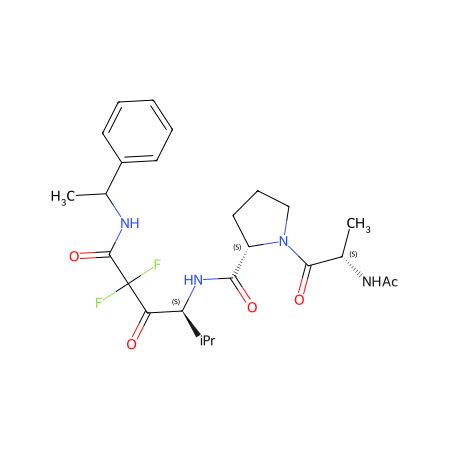 CC(=O)N[C@@H](C)C(=O)N1CCC[C@H]1C(=O)N[C@H](C(=O)C(F)(F)C(=O)NC(C)c1ccccc1)C(C)C